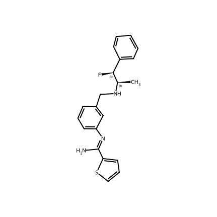 C[C@@H](NCc1cccc(N=C(N)c2cccs2)c1)[C@@H](F)c1ccccc1